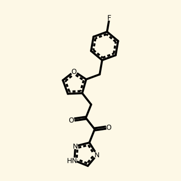 O=C(Cc1ccoc1Cc1ccc(F)cc1)C(=O)c1nc[nH]n1